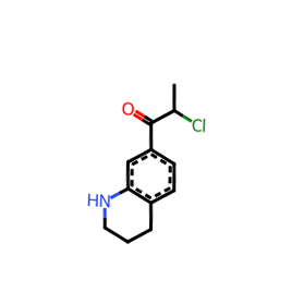 CC(Cl)C(=O)c1ccc2c(c1)NCCC2